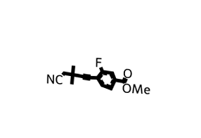 COC(=O)c1ccc(C#CC(C)(C)CC#N)c(F)c1